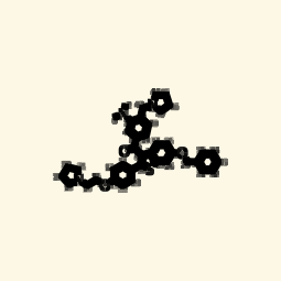 CN(C)c1cc(C(=O)c2c(-c3ccc(OCCN4CCCC4)cc3)sc3cc(OCc4ccccc4)ccc23)ccc1CN1CCCC1